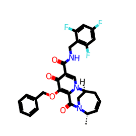 C[C@H]1C=CC[C@H]2CN1C(=O)c1c(OCc3ccccc3)c(=O)c(C(=O)NCc3c(F)cc(F)cc3F)cn12